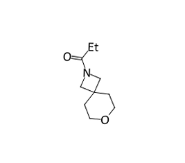 CCC(=O)N1CC2(CCOCC2)C1